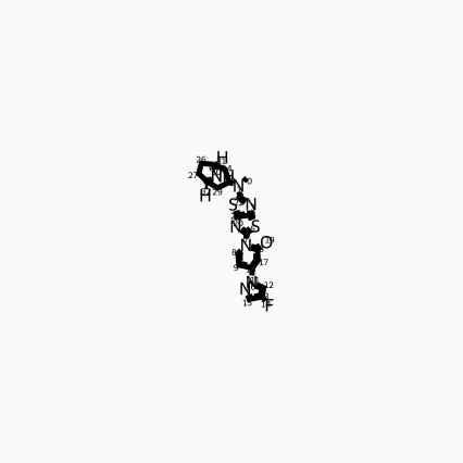 CN(c1nc2sc(-n3ccc(-n4cc(F)cn4)cc3=O)nc2s1)C1C[C@H]2CC[C@@H](C1)N2